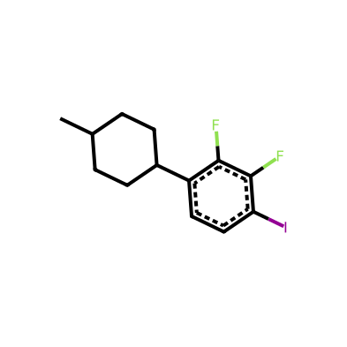 CC1CCC(c2ccc(I)c(F)c2F)CC1